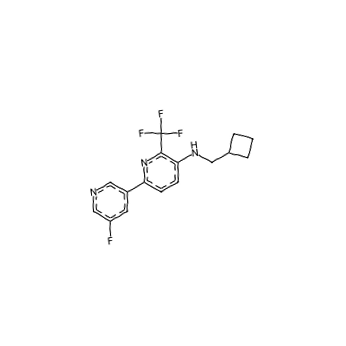 Fc1cncc(-c2ccc(NCC3CCC3)c(C(F)(F)F)n2)c1